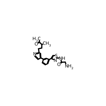 CC(=O)C(C)CCc1cc(-c2cccc(-c3csc(NC(=O)CN)n3)c2)ccn1